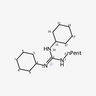 CCCCCN/C(=N/C1CCCCC1)NC1CCCCC1